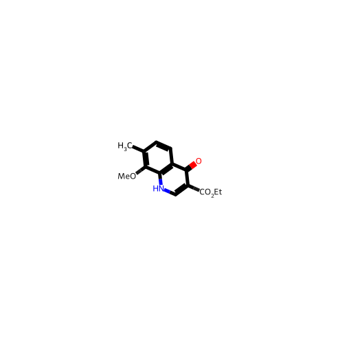 CCOC(=O)c1c[nH]c2c(OC)c(C)ccc2c1=O